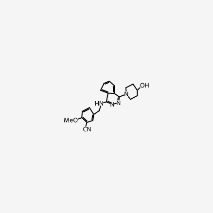 COc1ccc(CNc2nnc(N3CCC(O)CC3)c3ccccc23)cc1C#N